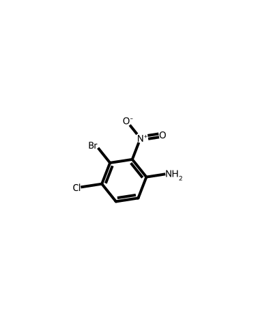 Nc1ccc(Cl)c(Br)c1[N+](=O)[O-]